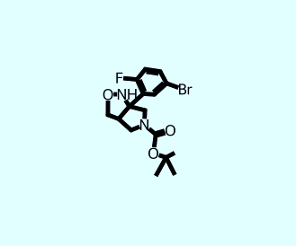 CC(C)(C)OC(=O)N1CC2CONC2(c2cc(Br)ccc2F)C1